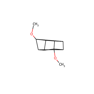 COC12C3C4C1C1C2C3C41OC